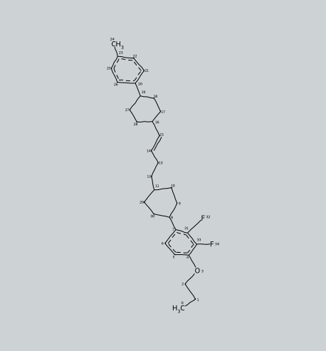 CCCOc1ccc(C2CCC(CC/C=C/C3CCC(c4ccc(C)cc4)CC3)CC2)c(F)c1F